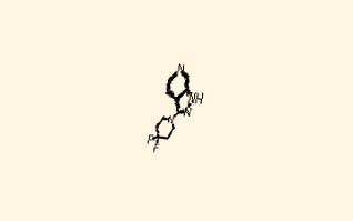 FC1(F)CCN(c2n[nH]c3cnccc23)CC1